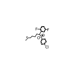 CSCCCCC(c1cc(F)ccc1F)S(=O)(=O)c1ccc(Cl)cc1